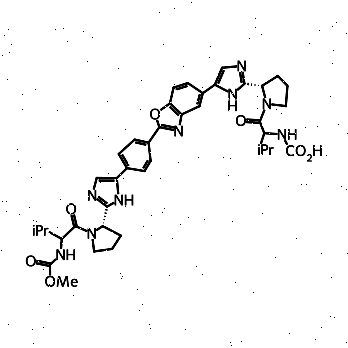 COC(=O)NC(C(=O)N1CCC[C@H]1c1ncc(-c2ccc(-c3nc4cc(-c5cnc([C@@H]6CCCN6C(=O)C(NC(=O)O)C(C)C)[nH]5)ccc4o3)cc2)[nH]1)C(C)C